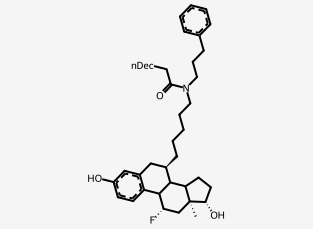 CCCCCCCCCCCC(=O)N(CCCCC[C@@H]1Cc2cc(O)ccc2C2C1C1CC[C@H](O)[C@@]1(C)C[C@@H]2F)CCCc1ccccc1